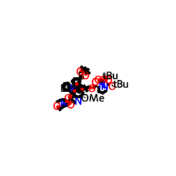 CCn1c(-c2cc(C3=CC4COCC(C3)N4C(=O)OCC3c4ccccc4-c4ccccc43)cnc2[C@H](C)OC)c(CC(C)(C)COC(=O)[C@@H]2CCCN(C(=O)OC(C)(C)C)N2C(=O)OC(C)(C)C)c2cc(B3OC(C)(C)C(C)(C)O3)ccc21